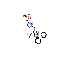 COC(=O)c1ccn(CCO[Si](c2ccccc2)(c2ccccc2)C(C)(C)C)n1